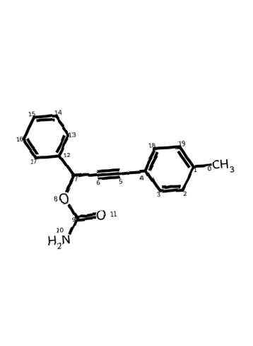 Cc1ccc(C#CC(OC(N)=O)c2ccccc2)cc1